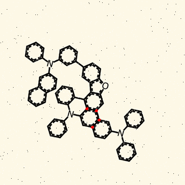 c1ccc(N(c2ccccc2)c2cccc(-c3cc(-c4ccccc4N(c4ccccc4)c4ccccc4)c4c(c3)oc3ccc(-c5cccc(N(c6ccccc6)c6ccc7ccccc7c6)c5)cc34)c2)cc1